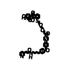 O=C(/C=C/c1cccnc1)NCCCCC1CCN(C(=O)c2ccc(N3CCN(C(=O)CCOCCOCCSc4cccc5c4C(=O)N(C4CCC(=O)NC4=O)C5=O)CC3)cc2)CC1